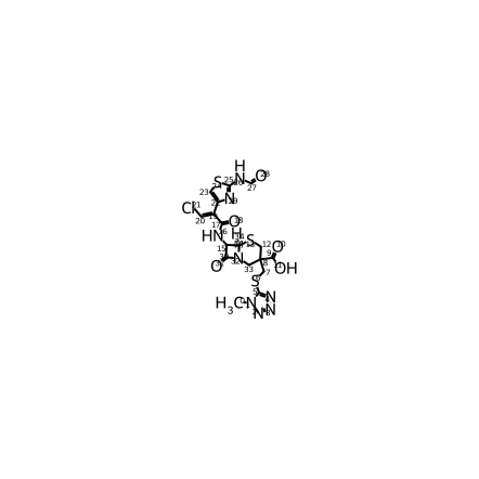 Cn1nnnc1SCC1(C(=O)O)CS[C@@H]2C(NC(=O)C(=CCl)c3csc(NC=O)n3)C(=O)N2C1